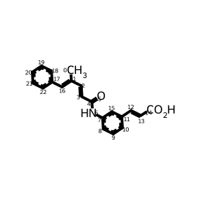 CC(C=CC(=O)Nc1cccc(C=CC(=O)O)c1)=Cc1ccccc1